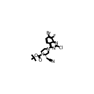 CC(C)(C)OC(=O)N1CCN(c2nc(Cl)nc3c(F)c(Br)ccc23)C[C@@H]1CC#N